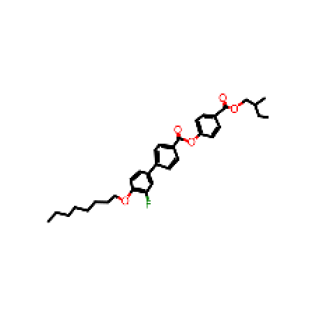 CCCCCCCCOc1ccc(-c2ccc(C(=O)Oc3ccc(C(=O)OCC(C)CC)cc3)cc2)cc1F